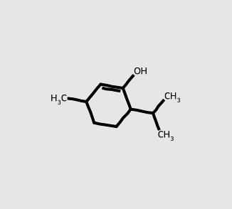 CC1C=C(O)C(C(C)C)CC1